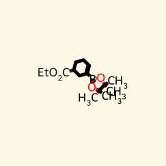 CCOC(=O)C1CCC=C(B2OC(C)(C)C(C)(C)O2)C1